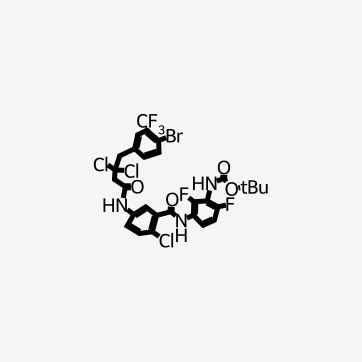 CC(C)(C)OC(=O)Nc1c(F)ccc(NC(=O)c2cc(NC(=O)CC(Cl)(Cl)Cc3ccc(Br)c(C(F)(F)F)c3)ccc2Cl)c1F